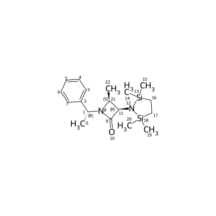 C[C@H](c1ccccc1)N1C(=O)[C@H](N2[Si](C)(C)CC[Si]2(C)C)[C@@H]1C